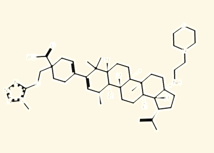 C=C(C)[C@@H]1CC[C@]2(NCCN3CCSCC3)CC[C@]3(C)[C@H](CC[C@@H]4[C@@H]5[C@@H](CC[C@]43C)C(C)(C)C(C3=CCC(COc4nnnn4C)(C(=O)O)CC3)=C[C@@H]5C)[C@@H]12